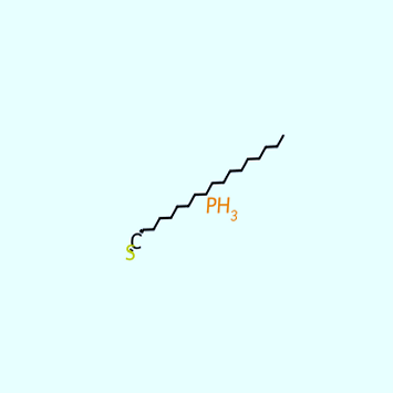 CCCCCCCCCCCCCCCCC=C=S.P